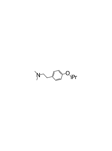 CC(C)Oc1ccc(CCN(C)C)cc1